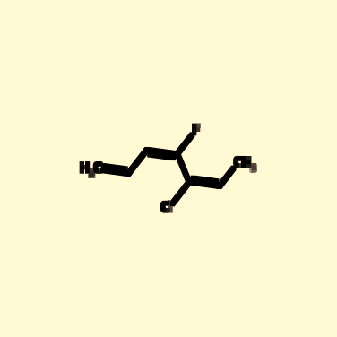 C=C/C=C(F)\C(Cl)=C/C